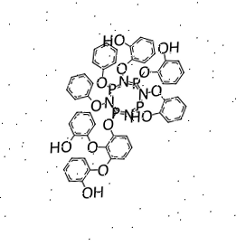 Oc1ccccc1Oc1cccc(Op2npn(Oc3ccccc3O)p(Oc3ccccc3O)n(Oc3ccccc3O)p(Oc3ccccc3)n2Oc2ccccc2)c1Oc1ccccc1O